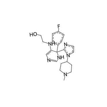 CN1CCC(n2ccnc2C2(c3ccc(F)cc3)NC=NC=C2NCCO)CC1